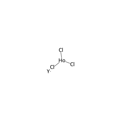 [Cl][Ho]([Cl])[Cl].[Y]